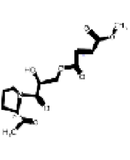 COC(=O)/C=C/C(=O)OCC(O)C(=O)N1CCC[C@H]1C(C)=O